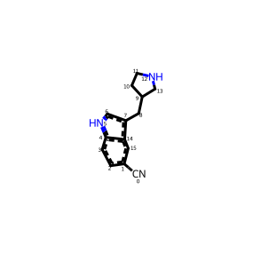 N#Cc1ccc2[nH]cc(CC3CCNC3)c2c1